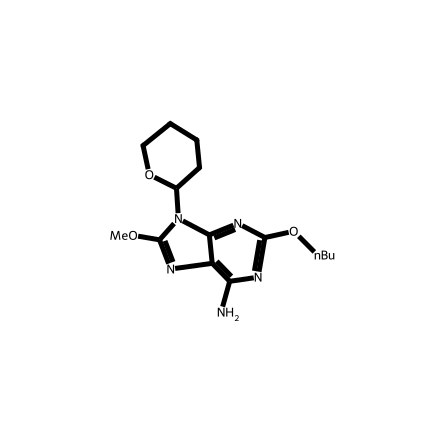 CCCCOc1nc(N)c2nc(OC)n(C3CCCCO3)c2n1